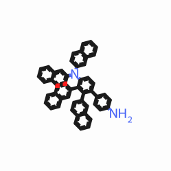 Nc1ccc(-c2ccc(N(c3ccc4ccccc4c3)c3ccc4ccccc4c3)c(-c3ccc4ccccc4c3)c2-c2ccc3ccccc3c2)cc1